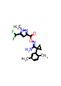 Cc1ccc(C)c(C2(/C(N)=N/OC(=O)c3cc(C(F)F)n(C)n3)CC2)c1